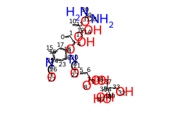 C=CC(=O)O.C=CC(=O)O.C=CC(=O)O.Cc1ccc(N=C=O)cc1N=C=O.NC(N)=O.OCC(CO)(CO)CO